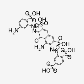 Nc1ccc(S(=O)(=O)O)c(N/N=C2/C(=O)c3c(cc(S(=O)(=O)O)c(/N=N/c4cc(S(=O)(=O)O)ccc4S(=O)(=O)O)c3N)C=C2S(=O)(=O)O)c1